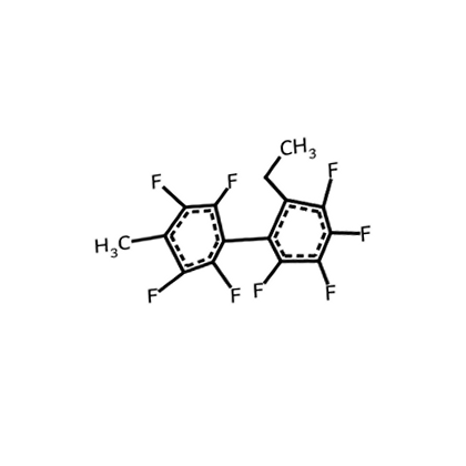 CCc1c(F)c(F)c(F)c(F)c1-c1c(F)c(F)c(C)c(F)c1F